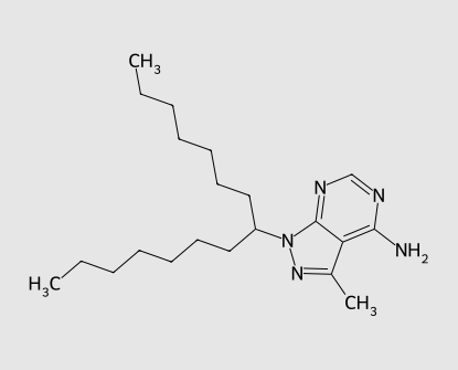 CCCCCCCC(CCCCCCC)n1nc(C)c2c(N)ncnc21